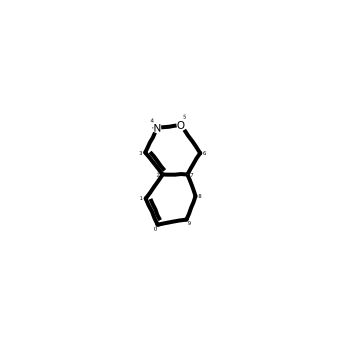 C1=CC2=C[N]OCC2CC1